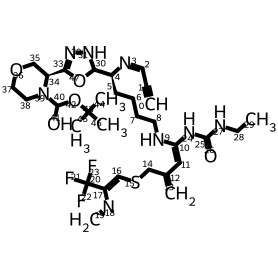 C#C/C=N\[C@@H](CCCCN/C(=C\C(=C)CS/C=C(\N=C)C(F)(F)F)NC(=O)NCC)C1NN=C([C@@H]2COCCN2C(O)OC(C)(C)C)O1